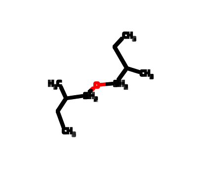 CCC(C)[SiH2]O[SiH2]C(C)CC